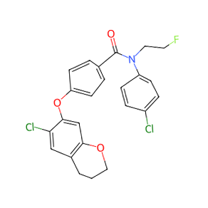 O=C(c1ccc(Oc2cc3c(cc2Cl)CCCO3)cc1)N(CCF)c1ccc(Cl)cc1